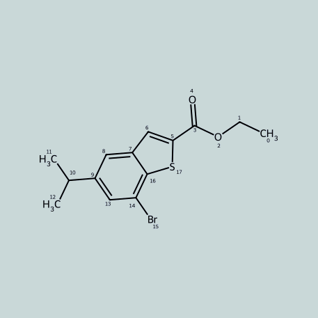 CCOC(=O)c1cc2cc(C(C)C)cc(Br)c2s1